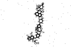 COc1cc([C@@H](CC(=O)O)c2ccc(C)c(CN3C[C@@H](C)Oc4cc(C5CCC(Oc6cc7c8c(cccc8c6)C(=O)N(C6CCC(=O)NC6=O)C7=O)CC5)ccc4S3(=O)=O)c2)cc2nnn(C)c12